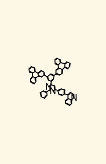 c1ccc(-c2nc(-c3ccc(-c4ccnc5ccccc45)cc3)cc(-c3cc(-c4ccc5c6ccccc6c6ccccc6c5c4)cc(-c4ccc5c6ccccc6c6ccccc6c5c4)c3)n2)cc1